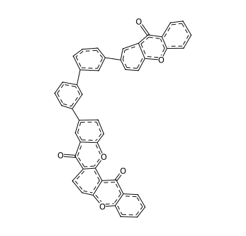 O=c1c2ccccc2oc2ccc(-c3cccc(-c4cccc(-c5ccc6oc7c(ccc8oc9ccccc9c(=O)c87)c(=O)c6c5)c4)c3)cc12